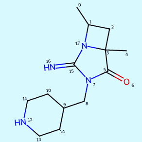 CC1CC2(C)C(=O)N(CC3CCNCC3)C(=N)N12